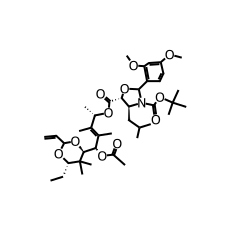 C=CC1O[C@@H](CC)C(C)(C)[C@H]([C@@H](OC(C)=O)/C(C)=C(\C)[C@H](C)OC(=O)[C@@H]2OC(c3ccc(OC)cc3OC)N(C(=O)OC(C)(C)C)[C@H]2CC(C)C)O1